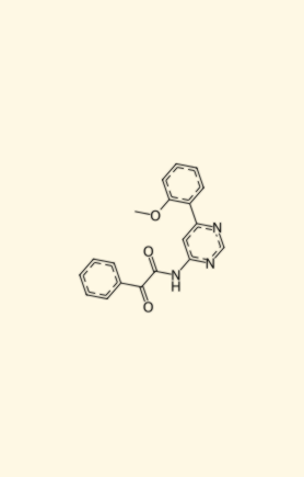 COc1ccccc1-c1cc(NC(=O)C(=O)c2ccccc2)ncn1